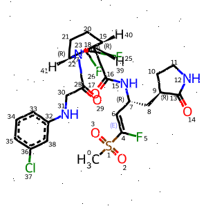 CS(=O)(=O)/C(F)=C/[C@@H](C[C@H]1CCNC1=O)NC(=O)[C@H]1[C@H]2CC[C@H](CC2(F)F)N1C(=O)CNc1cccc(Cl)c1